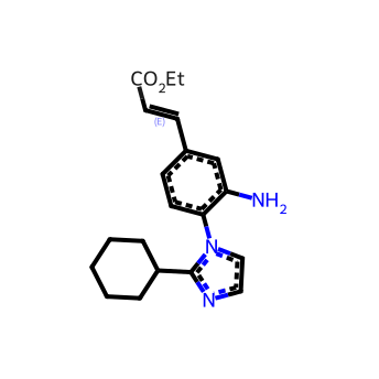 CCOC(=O)/C=C/c1ccc(-n2ccnc2C2CCCCC2)c(N)c1